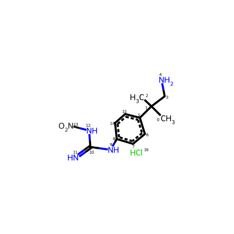 CC(C)(CN)c1ccc(NC(=N)N[N+](=O)[O-])cc1.Cl